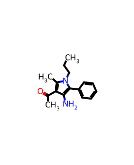 CCCn1c(C)c(C(C)=O)c(N)c1-c1ccccc1